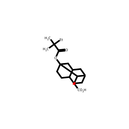 CCC(C)(C)C(=O)OC12CCC3CCC(CC3C1)C2CC(=O)O